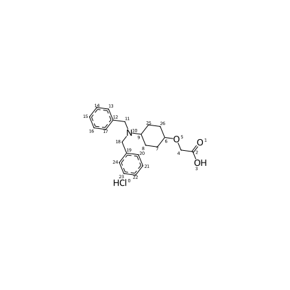 Cl.O=C(O)COC1CCC(N(Cc2ccccc2)Cc2ccccc2)CC1